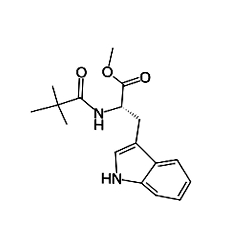 COC(=O)[C@H](Cc1c[nH]c2ccccc12)NC(=O)C(C)(C)C